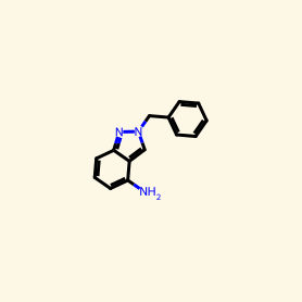 Nc1cccc2nn(Cc3ccccc3)cc12